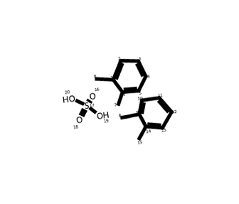 Cc1ccccc1C.Cc1ccccc1C.O=S(=O)(O)O